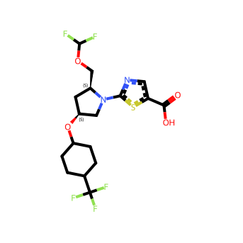 O=C(O)c1cnc(N2C[C@@H](OC3CCC(C(F)(F)F)CC3)C[C@H]2COC(F)F)s1